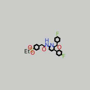 CCS(=O)(=O)c1ccc(CC(=O)Nc2ccc(-c3ccc(F)cc3)c(C(=O)c3ccc(F)cc3)n2)cc1